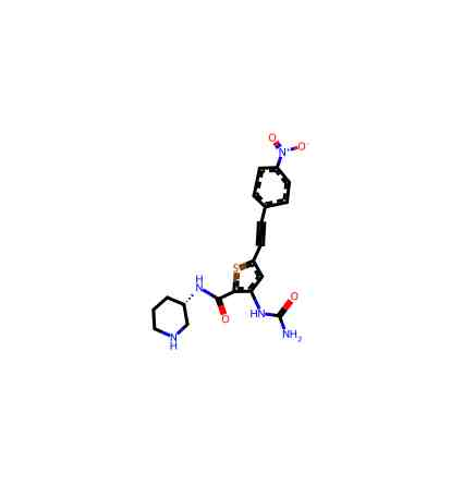 NC(=O)Nc1cc(C#Cc2ccc([N+](=O)[O-])cc2)sc1C(=O)N[C@H]1CCCNC1